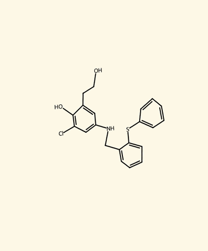 OCCc1cc(NCc2ccccc2Sc2ccccc2)cc(Cl)c1O